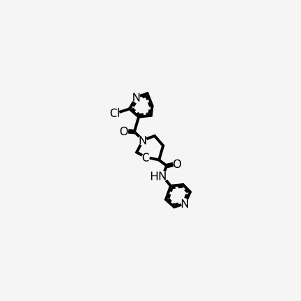 O=C(Nc1ccncc1)C1CCN(C(=O)c2cccnc2Cl)CC1